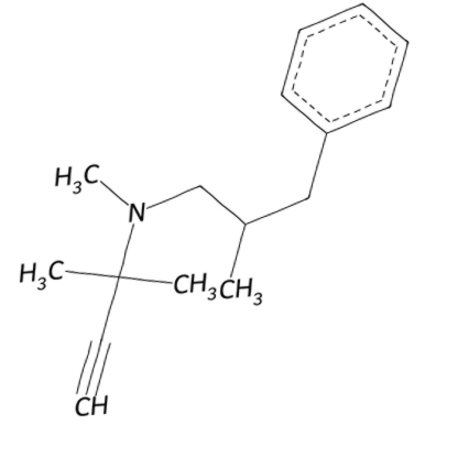 C#CC(C)(C)N(C)CC(C)Cc1ccccc1